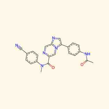 CC(=O)Nc1ccc(-c2cnc3cnc(C(=O)N(C)c4ccc(C#N)cc4)cn23)cc1